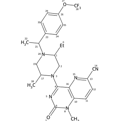 CCC1CN(c2nc(=O)n(C)c3ccc(C#N)nc23)C(C)CN1C(C)c1ccc(OC(F)(F)F)cc1